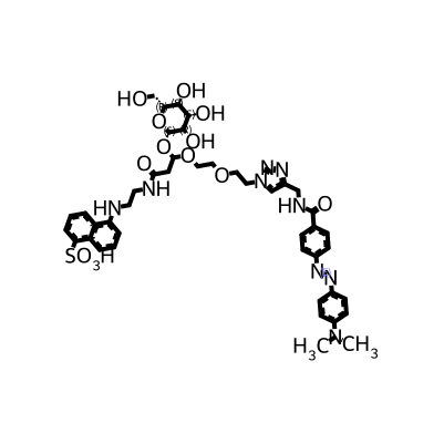 CN(C)c1ccc(/N=N/c2ccc(C(=O)NCc3cn(CCOCCOC(CC(=O)NCCNc4cccc5c(S(=O)(=O)O)cccc45)O[C@@H]4O[C@H](CO)[C@@H](O)[C@H](O)[C@H]4O)nn3)cc2)cc1